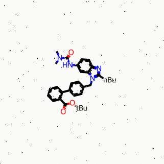 CCCCc1nc2ccc(NC(=O)N(C)C)cc2n1Cc1ccc(-c2ccccc2C(=O)OC(C)(C)C)cc1